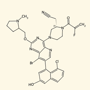 C=C(F)C(=O)N1CCN(c2nc(OCC3CCCN3C)nc3c(Br)c(-c4cc(O)cc5cccc(Cl)c45)cnc23)C[C@@H]1CC#N